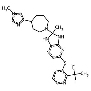 Cn1cnc(C2CCCN(C3(C)Nc4ncc(Sc5cccnc5C(C)(F)I)nc4N3)CC2)c1